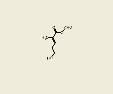 CC(=CCCO)C(=O)OC=O